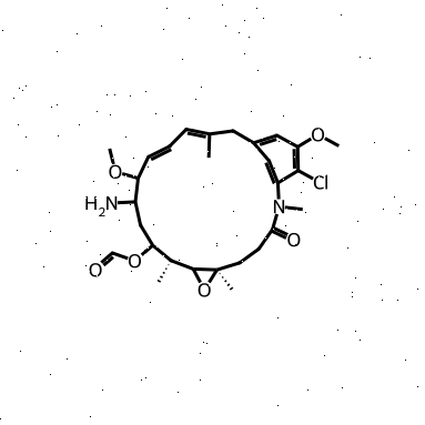 COc1cc2cc(c1Cl)N(C)C(=O)CC[C@@]1(C)OC1[C@H](C)C(OC=O)CC(N)C(OC)/C=C/C=C(\C)C2